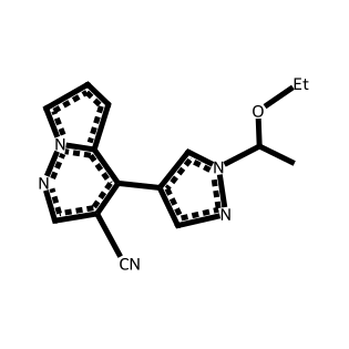 CCOC(C)n1cc(-c2c(C#N)cnn3cccc23)cn1